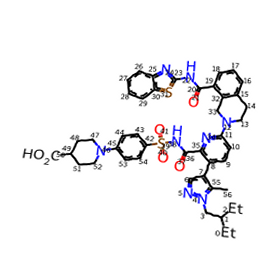 CCC(CC)Cn1ncc(-c2ccc(N3CCc4cccc(C(=O)Nc5nc6ccccc6s5)c4C3)nc2C(=O)NS(=O)(=O)c2ccc(N3CCC(C(=O)O)CC3)cc2)c1C